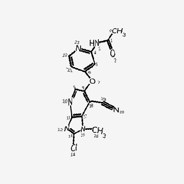 CC(=O)Nc1cc(Oc2cnc3nc(Cl)n(C)c3c2C#N)ccn1